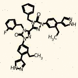 CCc1cc(-n2nc(-c3nn(-c4ccc(-c5cn[nH]c5)c(CC)c4)c(=O)n3Cc3cccc(F)c3)n(Cc3ccccc3)c2=O)ccc1-c1cn[nH]c1